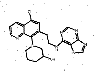 OC1CCCN(c2c(CCNc3ncnc4nc[nH]c34)cc(Cl)c3cccnc23)C1